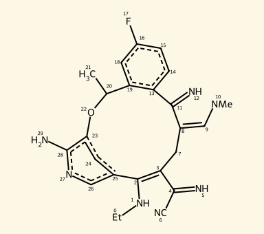 CCN/C1=C(\C(=N)C#N)C/C(=C/NC)C(=N)c2ccc(F)cc2C(C)Oc2cc1cnc2N